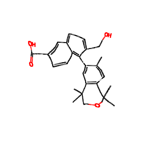 Cc1cc2c(cc1-c1c(CO)ccc3cc(C(=O)O)ccc13)C(C)(C)COC2(C)C